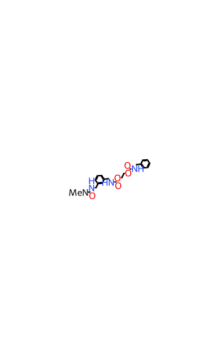 CNC(=O)NCc1cccc(CNC(=O)OCCOC(=O)NCc2ccccc2)c1